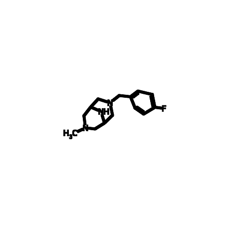 CN1CC2CN(Cc3ccc(F)cc3)CC(C1)N2